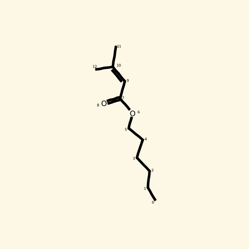 CCCCCCOC(=O)C=C(C)C